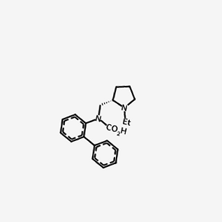 CCN1CCC[C@H]1CN(C(=O)O)c1ccccc1-c1ccccc1